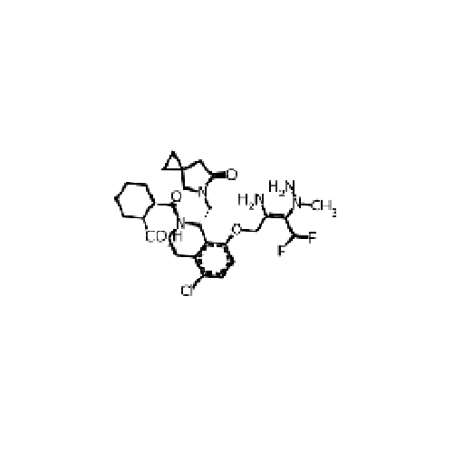 CN(N)/C(=C(\N)COc1ccc(Cl)c2c1[C@@H](CN1CC3(CC3)CC1=O)N(C(=O)[C@@H]1CCCC[C@@H]1C(=O)O)CC2)C(F)F